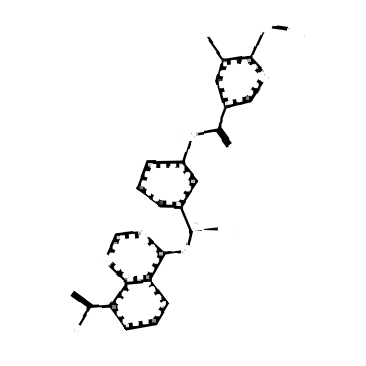 COc1ncc(C(=O)Nc2cccc([C@@H](C)Nc3ncnc4c(C(N)=O)cccc34)c2)cc1Cl